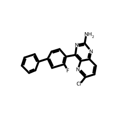 Nc1nc(-c2ccc(-c3ccccc3)cc2F)c2nc(Cl)ccc2n1